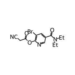 CCN(CC)C(=O)c1cnc(OC(=O)CC#N)c(Br)c1